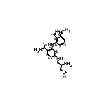 CCOCC(N)CNc1ncc(C(N)=O)c(Nc2cccc3c2cnn3C)n1